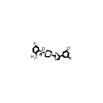 Cc1ccc(F)cc1S(=O)(=O)N1CCN(c2nc(-c3cc(F)cc(Cl)c3)cs2)CC1